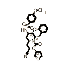 COc1ccc(S(=O)(=O)NC(CCCCC#N)[C@H](O)[C@H](Cc2ccccc2)NC(=O)O[C@H]2CCOC2)cc1